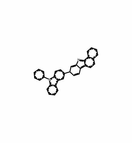 C1=CC(c2ccc3c(c2)c2ccccc2n3-c2ccccc2)C=C2N=c3c(ccc4ccccc34)=C12